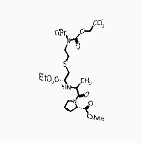 CCCN(CCSC[C@H](NC(C)C(=O)N1CCC[C@H]1C(=O)OC)C(=O)OCC)C(=O)OCC(Cl)(Cl)Cl